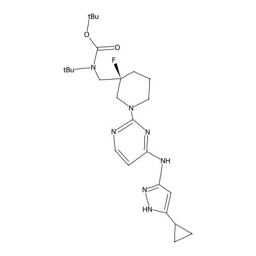 CC(C)(C)OC(=O)N(C[C@]1(F)CCCN(c2nccc(Nc3cc(C4CC4)[nH]n3)n2)C1)C(C)(C)C